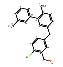 COc1ccc(Cc2ccc(F)c(CO)c2)cc1-c1cccc([N+](=O)[O-])c1